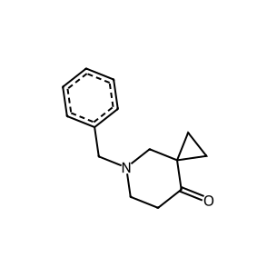 O=C1CCN(Cc2ccccc2)CC12CC2